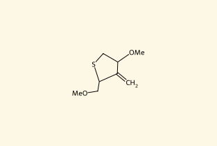 C=C1C(OC)CSC1COC